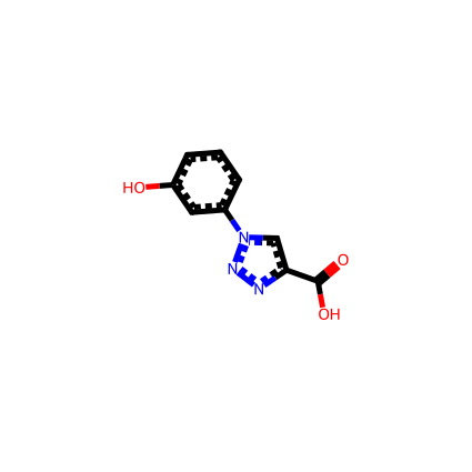 O=C(O)c1cn(-c2cccc(O)c2)nn1